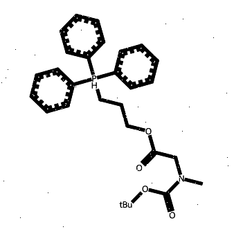 CN(CC(=O)OCCC[PH](c1ccccc1)(c1ccccc1)c1ccccc1)C(=O)OC(C)(C)C